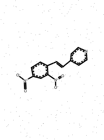 O=[N+]([O-])c1ccc(C=Cc2ccncc2)c([N+](=O)[O-])c1